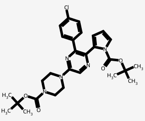 CC(C)(C)OC(=O)N1CCN(c2cnc(-c3cccn3C(=O)OC(C)(C)C)c(-c3ccc(Cl)cc3)n2)CC1